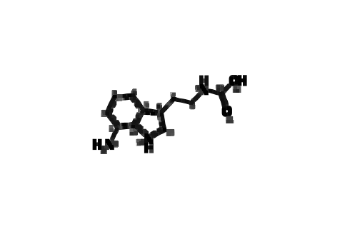 Nc1cccc2c(CCNC(=O)O)c[nH]c12